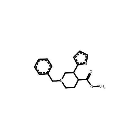 COC(=O)C1CCN(Cc2ccccc2)CC1c1cccs1